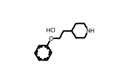 Cl.c1ccc(OCCC2CCNCC2)cc1